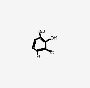 CCc1ccc(C(C)(C)C)c(O)c1CC